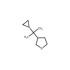 CC(C)(C1CCOC1)N1CC1